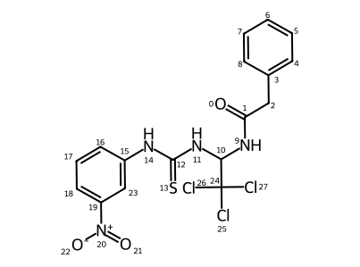 O=C(Cc1ccccc1)NC(NC(=S)Nc1cccc([N+](=O)[O-])c1)C(Cl)(Cl)Cl